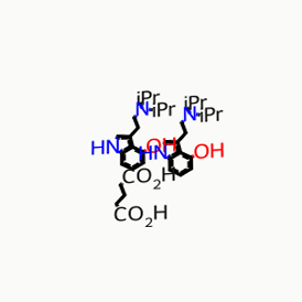 CC(C)N(CCc1c[nH]c2cccc(O)c12)C(C)C.CC(C)N(CCc1c[nH]c2cccc(O)c12)C(C)C.O=C(O)CCCC(=O)O